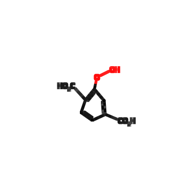 O=C(O)c1ccc(C(=O)O)c(OO)c1